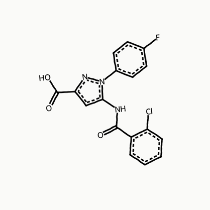 O=C(O)c1cc(NC(=O)c2ccccc2Cl)n(-c2ccc(F)cc2)n1